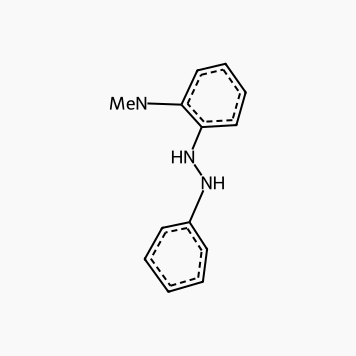 CNc1ccccc1NNc1ccccc1